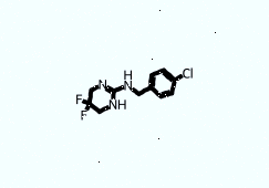 FC1(F)CN=C(NCc2ccc(Cl)cc2)NC1